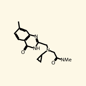 CNC(=O)CN(Cc1nc2cc(C)ccc2c(=O)[nH]1)C1CC1